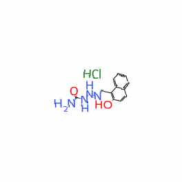 Cl.NC(=O)NNN=Cc1c(O)ccc2ccccc12